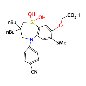 CCCCC1(CCCC)CN(c2ccc(C#N)cc2)c2cc(SC)c(OCC(=O)O)cc2S(O)(O)C1